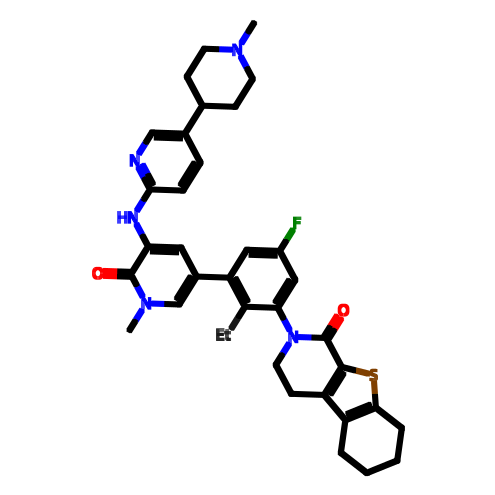 CCc1c(-c2cc(Nc3ccc(C4CCN(C)CC4)cn3)c(=O)n(C)c2)cc(F)cc1N1CCc2c(sc3c2CCCC3)C1=O